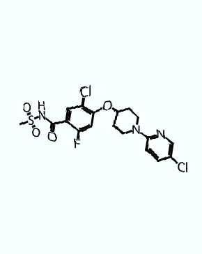 CS(=O)(=O)NC(=O)c1cc(Cl)c(OC2CCN(c3ccc(Cl)cn3)CC2)cc1F